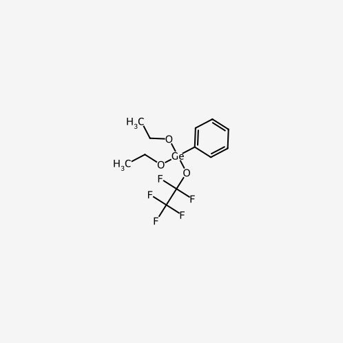 CC[O][Ge]([O]CC)([O]C(F)(F)C(F)(F)F)[c]1ccccc1